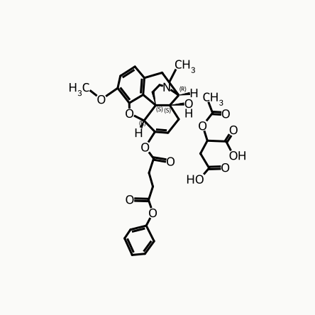 CC(=O)OC(CC(=O)O)C(=O)O.COc1ccc2c3c1O[C@H]1C(OC(=O)CCC(=O)Oc4ccccc4)=CC[C@@]4(O)[C@@H](C2)N(C)CC[C@]314